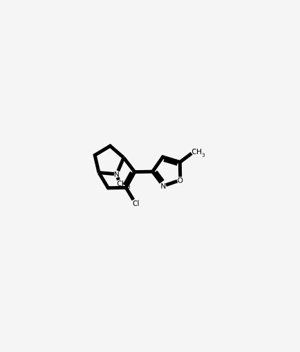 Cc1cc(C2=C(Cl)CC3CCC2N3C)no1